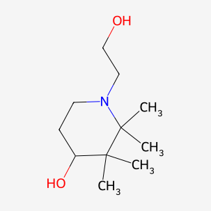 CC1(C)C(O)CCN(CCO)C1(C)C